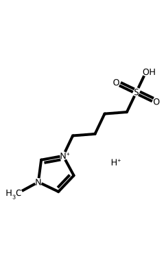 Cn1cc[n+](CCCCS(=O)(=O)O)c1.[H+]